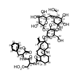 C=C1C[C@@]23CCC4[C@](C)(C(=O)NC(CC(=O)O)C(=O)NC(Cc5ccccc5)C(=O)OC)CCC[C@@]4(C)[C@@H]2CC[C@]1(O[C@@H]1O[C@H](CO)[C@@H](O)[C@H](O[C@@H]2O[C@H](CO)[C@@H](O)[C@H](O)[C@H]2O)[C@H]1O[C@@H]1O[C@H](CO)[C@@H](O)[C@H](O)[C@H]1O)C3